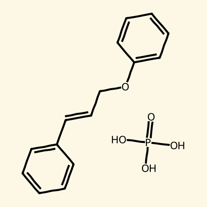 C(=Cc1ccccc1)COc1ccccc1.O=P(O)(O)O